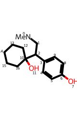 CNCC(c1ccc(O)cc1)C1(O)CCCCC1